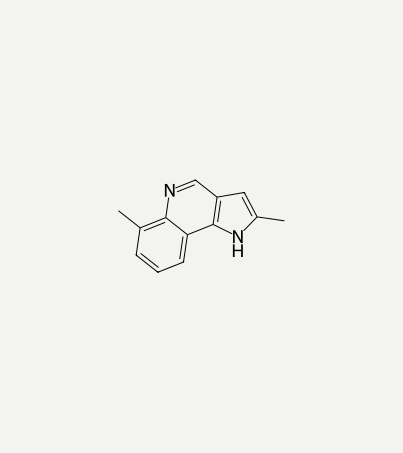 Cc1cc2cnc3c(C)cccc3c2[nH]1